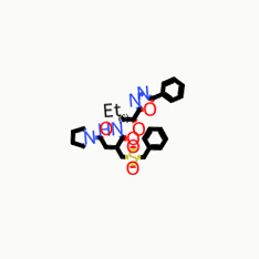 CC[C@H](NC(=O)C(CC(=O)N1CCCC1)CS(=O)(=O)Cc1ccccc1)C(=O)c1nnc(-c2ccccc2)o1